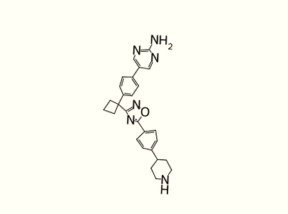 Nc1ncc(-c2ccc(C3(c4noc(-c5ccc(C6CCNCC6)cc5)n4)CCC3)cc2)cn1